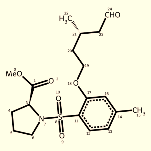 COC(=O)[C@@H]1CCCN1S(=O)(=O)c1ccc(C)cc1OCC[C@H](C)CC=O